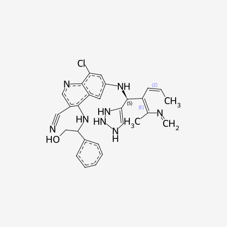 C=N/C(C)=C(\C=C/C)[C@H](Nc1cc(Cl)c2ncc(C#N)c(NC(CO)c3ccccc3)c2c1)C1=CNNN1